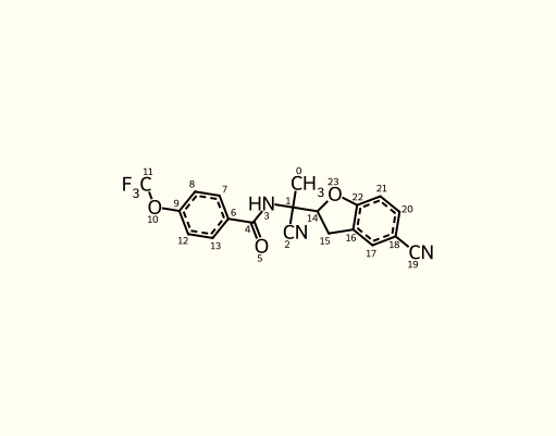 CC(C#N)(NC(=O)c1ccc(OC(F)(F)F)cc1)C1Cc2cc(C#N)ccc2O1